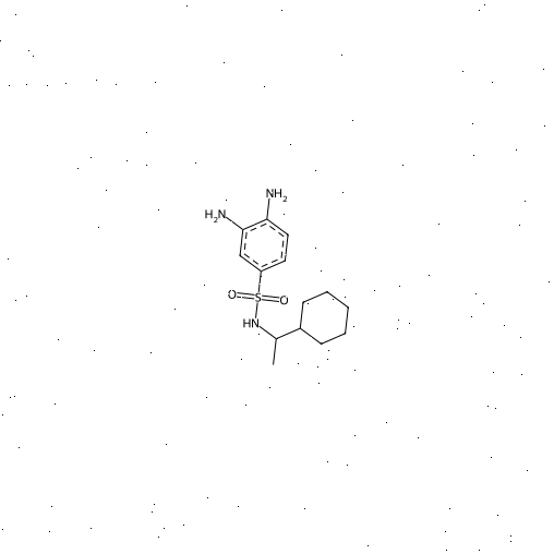 CC(NS(=O)(=O)c1ccc(N)c(N)c1)C1CCCCC1